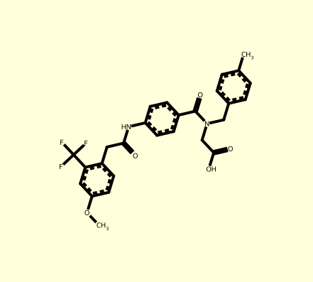 COc1ccc(CC(=O)Nc2ccc(C(=O)N(CC(=O)O)Cc3ccc(C)cc3)cc2)c(C(F)(F)F)c1